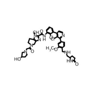 COc1cc(-c2nccc(-c3cccc(NC(=O)c4nc5c(n4C)CCN(C(=O)CN4CCC(O)C4)C5)c3Cl)c2Cl)ccc1CNCC1CCC(=O)N1